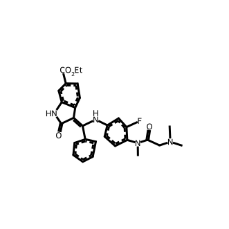 CCOC(=O)c1ccc2c(c1)NC(=O)C2=C(Nc1ccc(N(C)C(=O)CN(C)C)c(F)c1)c1ccccc1